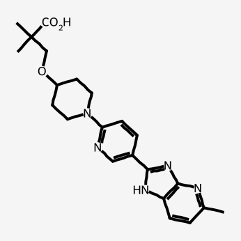 Cc1ccc2[nH]c(-c3ccc(N4CCC(OCC(C)(C)C(=O)O)CC4)nc3)nc2n1